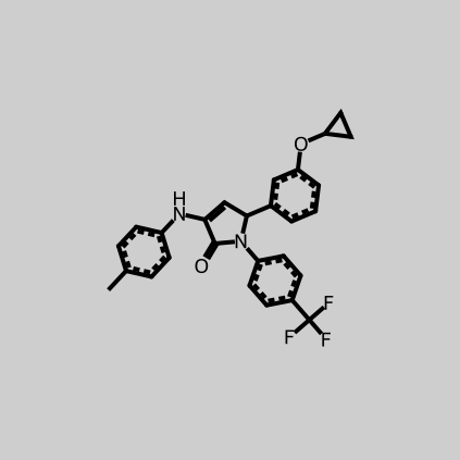 Cc1ccc(NC2=CC(c3cccc(OC4CC4)c3)N(c3ccc(C(F)(F)F)cc3)C2=O)cc1